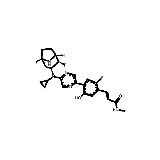 CNC(=O)/C=C/c1cc(O)c(-c2cnc(N(C3CC3)[C@H]3C[C@@H]4CC[C@@H](N4)[C@H]3F)cn2)cc1F